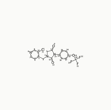 O=C1CN(Cc2ccncc2Cl)C(=O)N1c1ccc(OC(F)(F)F)cc1